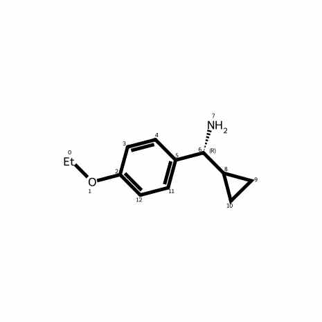 CCOc1ccc([C@H](N)C2CC2)cc1